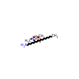 CC(=O)O.CCCCCCCCCCCCCCCCCCN.CCN(CC)CC